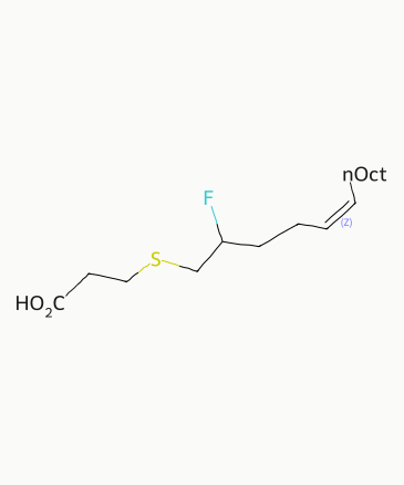 CCCCCCCC/C=C\CCC(F)CSCCC(=O)O